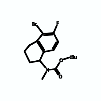 CN(C(=O)OC(C)(C)C)C1CCCc2c1ccc(F)c2Br